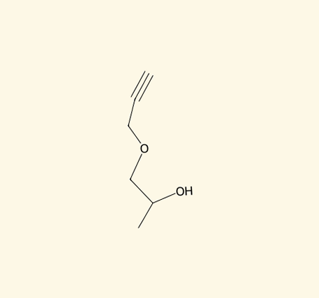 C#CCOCC(C)O